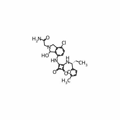 CC[C@@H](Nc1c(Nc2ccc(Cl)c3c2C(O)N(CC(N)=O)C3)c(=O)c1=O)c1ccc(C)o1